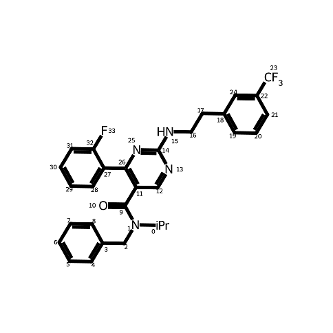 CC(C)N(Cc1ccccc1)C(=O)c1cnc(NCCc2cccc(C(F)(F)F)c2)nc1-c1ccccc1F